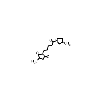 CC1CC(=O)N(CCCCC(=O)N2CC[C@@H](C)C2)C1=O